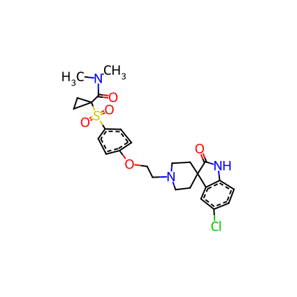 CN(C)C(=O)C1(S(=O)(=O)c2ccc(OCCN3CCC4(CC3)C(=O)Nc3ccc(Cl)cc34)cc2)CC1